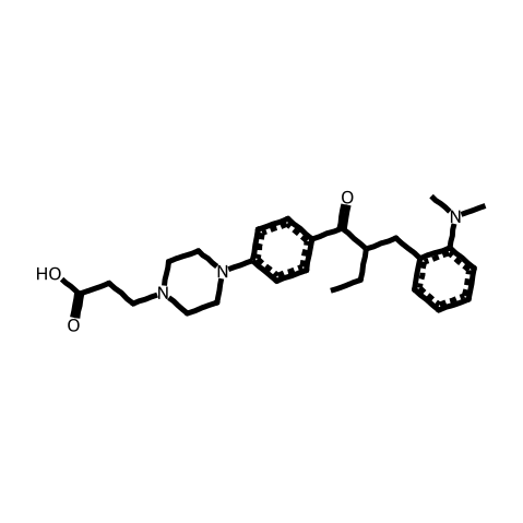 CCC(Cc1ccccc1N(C)C)C(=O)c1ccc(N2CCN(CCC(=O)O)CC2)cc1